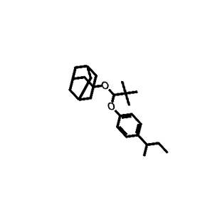 CCC(C)c1ccc(OC(OC23CC4CC(CC(C4)C2)C3)C(C)(C)C)cc1